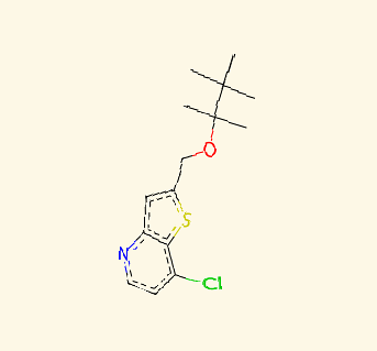 CC(C)(C)C(C)(C)OCc1cc2nccc(Cl)c2s1